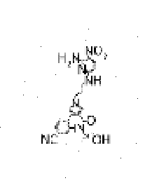 C[C@@H](CO)NC(=O)c1cn(CCCNc2ccc([N+](=O)[O-])c(N)n2)cc1-c1ccc(C#N)cc1